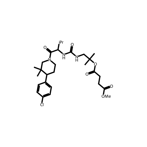 COC(=O)CCC(=O)OC(C)(C)CNC(=O)NC(C(=O)N1CCC(c2ccc(Cl)cc2)C(C)(C)C1)C(C)C